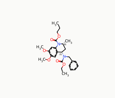 CCCOC(=O)N1c2cc(OC)c(OC)cc2[C@@H](N(Cc2ccccc2)C(=O)OCC)C[C@H]1C